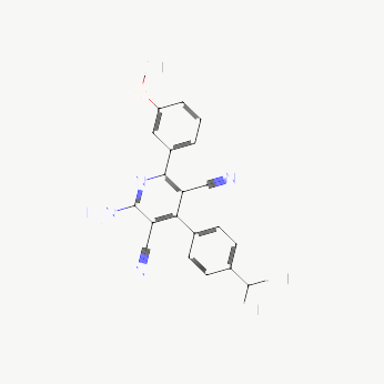 COc1cccc(-c2nc(N)c(C#N)c(-c3ccc(C(C)C)cc3)c2C#N)c1